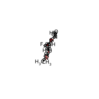 CC1(C)CCC(c2ccc(Cl)cc2)=C(CN2CCN(c3ccc(C(=O)NS(=O)(=O)c4ccc(N[C@H](CCN5CC6CCC5CN6Cc5ccnc(N6CCC(=O)NC6=O)c5)CSc5ccccc5)c(S(=O)(=O)C(F)(F)F)c4)cc3)CC2)C1